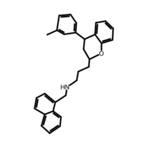 Cc1cccc(C2CC(CCCNCc3cccc4ccccc34)Oc3ccccc32)c1